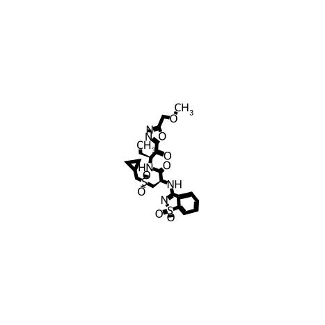 CC[C@H](NC(=O)[C@H](CS(=O)(=O)CC1CC1)NC1=NS(=O)(=O)c2ccccc21)C(=O)c1nnc(COC)o1